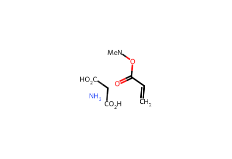 C=CC(=O)ONC.N.O=C(O)CC(=O)O